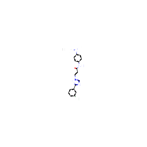 CC(C)(C)N(C(=O)O)c1ccc(NC(=O)/C=C/n2cnc(-c3cccc(Cl)c3)n2)cc1